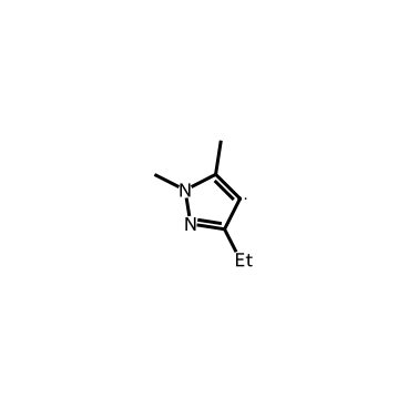 CCc1[c]c(C)n(C)n1